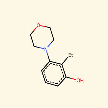 CCc1c(O)cccc1N1CCOCC1